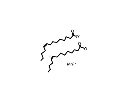 CCCC/C=C\CCCCCCCC(=O)[O-].CCCC/C=C\CCCCCCCC(=O)[O-].[Mn+2]